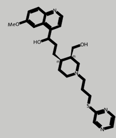 COc1ccc2nccc(C(O)CC[C@@H]3CCN(CCCSc4cnccn4)C[C@@H]3CO)c2c1